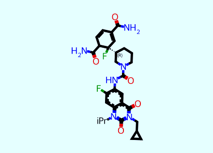 CC(C)n1c(=O)n(CC2CC2)c(=O)c2cc(NC(=O)N3CCC[C@@H](C4(F)C=C(C(N)=O)C=CC4C(N)=O)C3)c(F)cc21